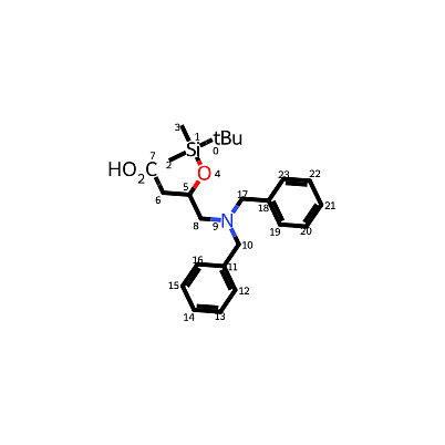 CC(C)(C)[Si](C)(C)OC(CC(=O)O)CN(Cc1ccccc1)Cc1ccccc1